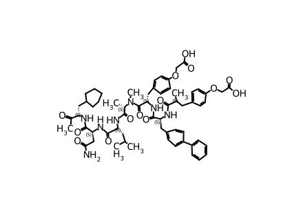 CC(=O)[C@H](CC1CCCCC1)NC(=O)[C@H](CC(N)=O)NC(=O)[C@@H](CC(C)C)NC(=O)[C@H](C)N(C)C(=O)[C@H](Cc1ccc(OCC(=O)O)cc1)NC(=O)[C@H](Cc1ccc(-c2ccccc2)cc1)NC(=O)[C@@H](C)Cc1ccc(OCC(=O)O)cc1